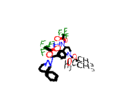 CC(C)(C)OC(=O)N1CC[C@@H](NOC(=O)C(F)(F)F)c2cc(C(OC(=O)C(F)(F)F)N3CCCC4(CCCCC4)C3)ccc21